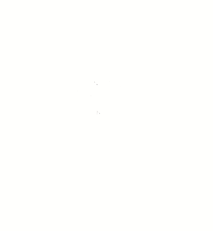 CC1(NC2CC2)CN(C(c2ccccc2)c2ccccc2)C1